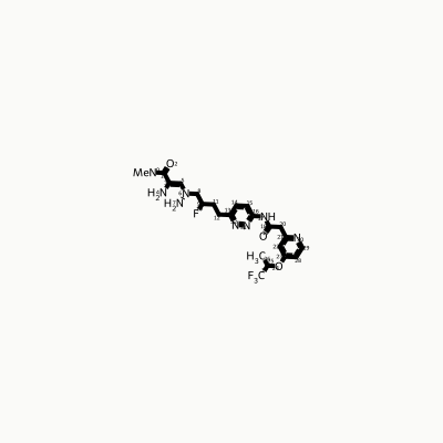 CNC(=O)/C(N)=C/N(N)CC(F)CCc1ccc(NC(=O)Cc2cc(OC(C)C(F)(F)F)ccn2)nn1